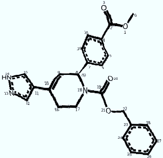 COC(=O)c1ccc([C@@H]2C=C(c3cn[nH]c3)CCN2C(=O)OCc2ccccc2)cc1